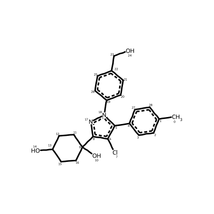 Cc1ccc(-c2c(Cl)c(C3(O)CCC(O)CC3)nn2-c2ccc(CO)cc2)cc1